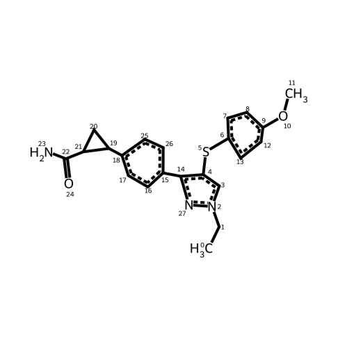 CCn1cc(Sc2ccc(OC)cc2)c(-c2ccc(C3CC3C(N)=O)cc2)n1